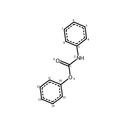 O=C(Nc1ccccc1)Oc1cc[c]cc1